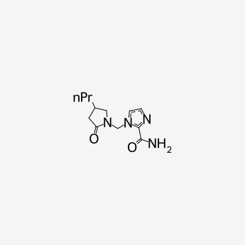 CCCC1CC(=O)N(Cn2ccnc2C(N)=O)C1